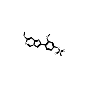 COc1cc2nc(-c3ccc(OS(C)(=O)=O)cc3OC)cn2cn1